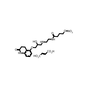 O=C(CCCO[N+](=O)[O-])NCCNCC(O)COc1cccc2c1CCC(=O)N2.O=C(O)C=CC(=O)O